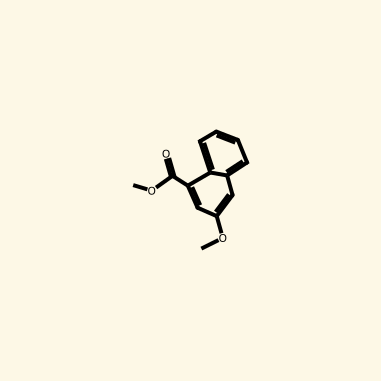 COC(=O)c1cc(OC)cc2ccccc12